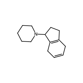 C1=CCC2=C(C1)CCC2N1CCCCC1